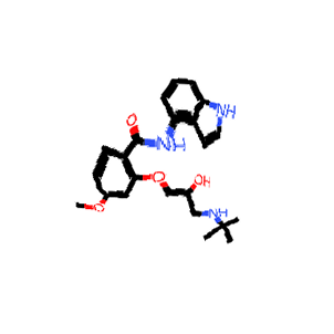 COc1ccc(C(=O)Nc2cccc3[nH]ccc23)c(OCC(O)CNC(C)(C)C)c1